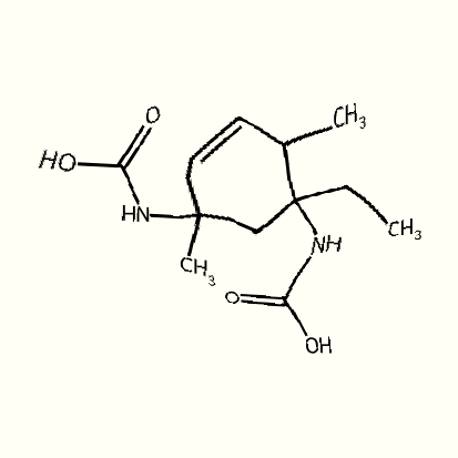 CCC1(NC(=O)O)CC(C)(NC(=O)O)C=CC1C